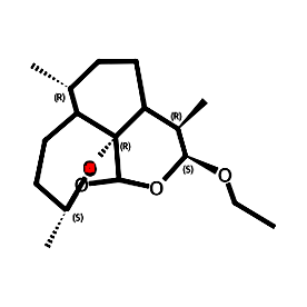 CCO[C@H]1OC2O[C@]3(C)CCC4[C@H](C)CCC([C@H]1C)[C@@]24OO3